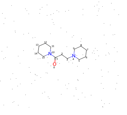 O=C(CCN1CCCCC1)N1CCCCC1